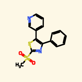 CS(=O)(=O)c1nc(-c2ccccc2)c(-c2cccnc2)s1